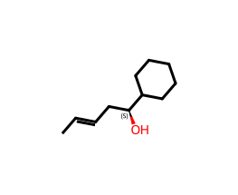 CC=CC[C@H](O)C1CCCCC1